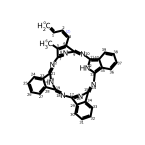 C=C/C=C\C1=C(C)c2nc1nc1[nH]c(nc3nc(nc4[nH]c(n2)c2ccccc42)-c2ccccc2-3)c2ccccc12